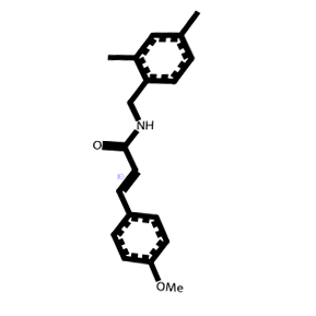 COc1ccc(/C=C/C(=O)NCc2ccc(C)cc2C)cc1